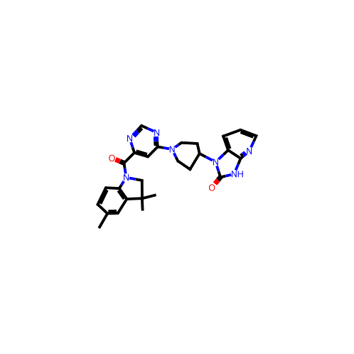 Cc1ccc2c(c1)C(C)(C)CN2C(=O)c1cc(N2CCC(n3c(=O)[nH]c4ncccc43)CC2)ncn1